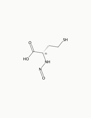 O=NN[C@@H](CCS)C(=O)O